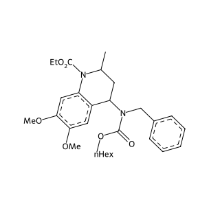 CCCCCCOC(=O)N(Cc1ccccc1)C1CC(C)N(C(=O)OCC)c2cc(OC)c(OC)cc21